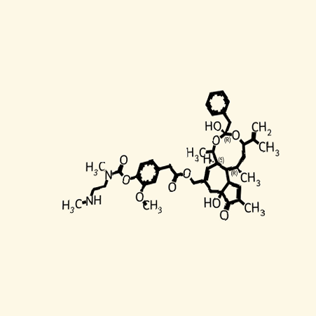 C=C(C)C1C[C@@H](C)C2C3C=C(C)C(=O)C3(O)CC(COC(=O)Cc3ccc(OC(=O)N(C)CCNC)c(OC)c3)=C[C@H]2C(C)O[C@](O)(Cc2ccccc2)O1